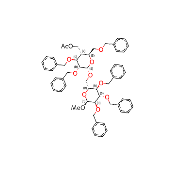 CO[C@H]1O[C@H](CO[C@H]2O[C@H](COCc3ccccc3)[C@@H](COC(C)=O)[C@H](OCc3ccccc3)[C@H]2OCc2ccccc2)[C@@H](OCc2ccccc2)[C@H](OCc2ccccc2)[C@H]1OCc1ccccc1